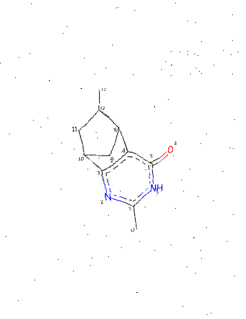 Cc1nc2c(c(=O)[nH]1)C1CC2CC1C